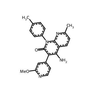 COc1cc(-c2c(N)c3ccc(C)nc3n(-c3ccc(C)cc3)c2=O)ccn1